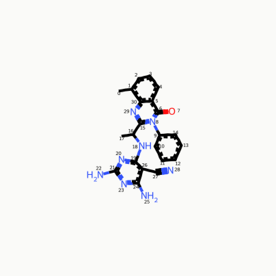 Cc1cccc2c(=O)n(-c3ccccc3)c(C(C)Nc3nc(N)nc(N)c3C#N)nc12